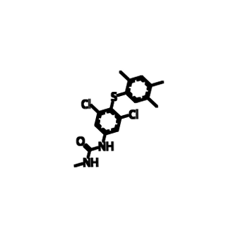 CNC(=O)Nc1cc(Cl)c(Sc2cc(C)c(C)cc2C)c(Cl)c1